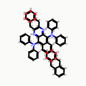 c1ccc(N(c2ccccc2)c2c3cc4nc5c(nc4cc3c(N(c3ccccc3)c3ccccc3)c3nc4c(nc23)C2c3ccccc3C4c3ccccc32)C2c3ccccc3C5c3ccccc32)cc1